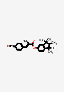 CC(=CC1=CCC(=C=O)C=C1)C(=O)Oc1ccc2c(c1)C(C)(C)C(C)C2(C)C